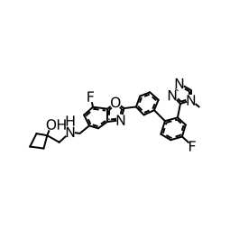 Cn1cnnc1-c1cc(F)ccc1-c1cccc(-c2nc3cc(CNCC4(O)CCC4)cc(F)c3o2)c1